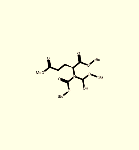 COC(=O)CC[C@@H](C(=O)OC(C)(C)C)N(C(=O)OC(C)(C)C)C(O)OC(C)(C)C